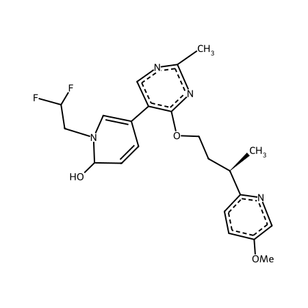 COc1ccc([C@H](C)CCOc2nc(C)ncc2C2=CN(CC(F)F)C(O)C=C2)nc1